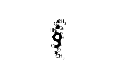 CCOC(=O)CC1CCC(NC(=O)OC)CC1